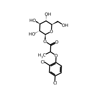 CC(Oc1ccc(Cl)cc1Cl)C(=O)O[C@@H]1O[C@H](CO)[C@@H](O)[C@H](O)[C@H]1O